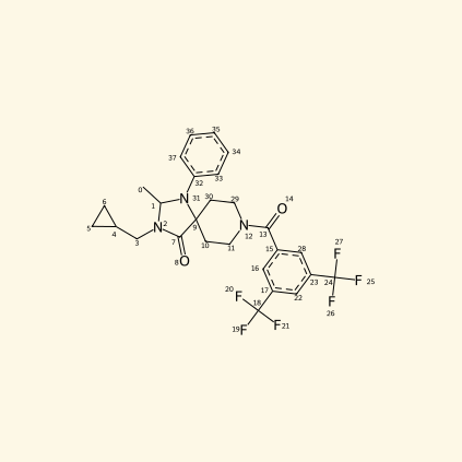 CC1N(CC2CC2)C(=O)C2(CCN(C(=O)c3cc(C(F)(F)F)cc(C(F)(F)F)c3)CC2)N1c1ccccc1